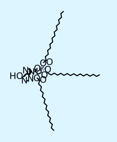 CCCCCCCCCCCCCCCCC(=O)OC[C@H]1O[C@@H](n2cnc3c(O)ncnc32)C(OC(=O)CCCCCCCCCCCCCCCC)C1OC(=O)CCCCCCCCCCCCCCCC